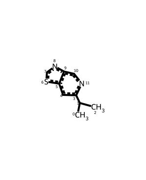 CC(C)c1cc2scnc2cn1